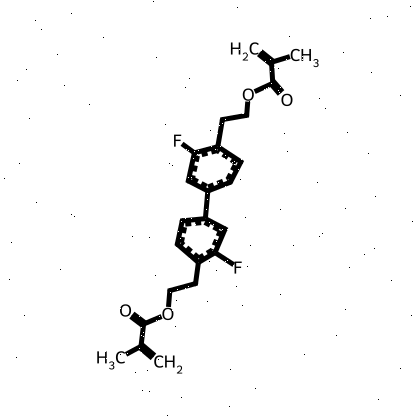 C=C(C)C(=O)OCCc1ccc(-c2ccc(CCOC(=O)C(=C)C)c(F)c2)cc1F